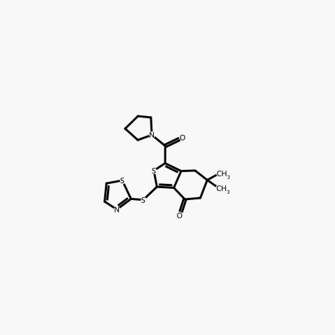 CC1(C)CC(=O)c2c(Sc3nccs3)sc(C(=O)N3CCCC3)c2C1